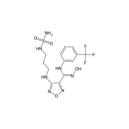 NS(=O)(=O)NCCCNc1nonc1/C(=N/O)Nc1cccc(C(F)(F)F)c1